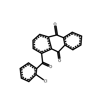 O=C(c1ccccc1Cl)c1cccc2c1C(=O)c1ccccc1C2=O